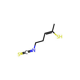 CC(S)=CCCN=C=S